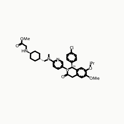 COC(=O)CN[C@H]1CC[C@H](CN(C)c2ccc(N3C(=O)Cc4cc(OC)c(OC(C)C)cc4[C@@H]3c3ccc(Cl)cc3)cn2)CC1